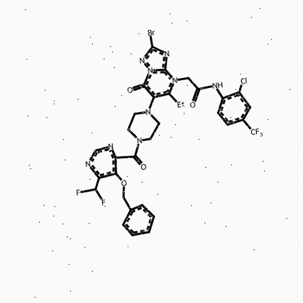 CCc1c(N2CCN(C(=O)c3ncnc(C(F)F)c3OCc3ccccc3)CC2)c(=O)n2nc(Br)nc2n1CC(=O)Nc1ccc(C(F)(F)F)cc1Cl